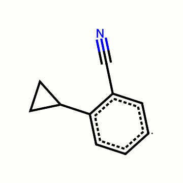 N#Cc1c[c]ccc1C1CC1